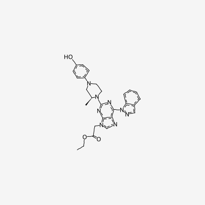 CCOC(=O)Cn1cnc2c(-n3ncc4ccccc43)nc(N3CCN(c4ccc(O)cc4)C[C@@H]3C)nc21